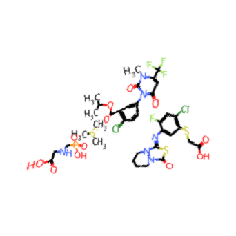 CC(C)OC(=O)c1cc(-n2c(=O)cc(C(F)(F)F)n(C)c2=O)ccc1Cl.C[S+](C)C.O=C(O)CNCP(=O)([O-])O.O=C(O)CSc1cc(N=c2sc(=O)n3n2CCCC3)c(F)cc1Cl